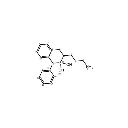 NCCCC1Cc2ccccc2N(c2ccccc2)S1(O)O